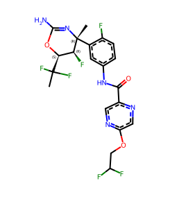 CC(F)(F)[C@H]1OC(N)=N[C@](C)(c2cc(NC(=O)c3cnc(OCC(F)F)cn3)ccc2F)[C@H]1F